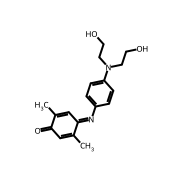 CC1=CC(=Nc2ccc(N(CCO)CCO)cc2)C(C)=CC1=O